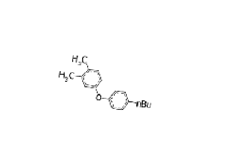 CCCCc1ccc(Oc2ccc(C)c(C)c2)cc1